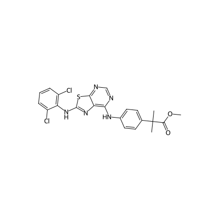 COC(=O)C(C)(C)c1ccc(Nc2ncnc3sc(Nc4c(Cl)cccc4Cl)nc23)cc1